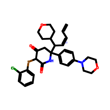 C=C/C=C\C(C1CCOCC1)C1(c2ccc(N3CCOCC3)cc2)CC(=O)C(Sc2ccccc2Cl)C(=O)N1